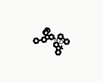 CC1(C)c2ccccc2-c2ccc(N(c3ccc4c(c3)-c3ccc(-c5ccccc5)cc3C43C4CC5CC(C4)CC3C5)c3cccc4c3oc3ccccc34)cc21